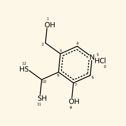 Cl.OCc1cncc(O)c1C(S)S